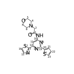 O=C(CN1CCOCC1)Nc1cc(-c2nccs2)nc(-c2cccs2)n1